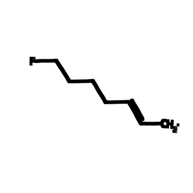 [CH2]C=CCCCCF